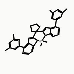 Cc1cc(C)cc(-c2cccc3c2C=C2[CH]3[Hf]([CH3])([CH3])[CH]3C(=Cc4c(-c5cc(C)cc(C)c5)cccc43)C23CCCC3)c1